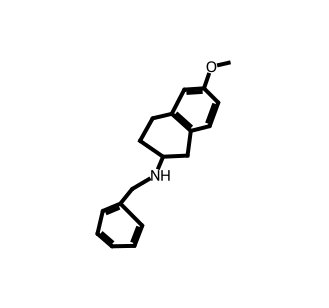 COc1ccc2c(c1)CCC(NCc1ccccc1)C2